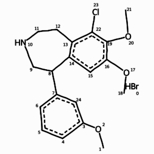 Br.COc1cccc(C2CNCCc3c2cc(OC)c(OC)c3Cl)c1